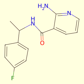 CC(NC(=O)c1cccnc1N)c1ccc(F)cc1